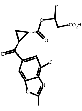 [CH2]C(CC(=O)O)OC(=O)[C@H]1C[C@@H]1C(=O)c1cc(Cl)c2nc(C)oc2c1